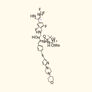 COC(=O)N[C@H](C(=O)N[C@@H](Cc1ccc(C#Cc2ccc(N3CCN(C4CCOCC4)CC3)nc2)cc1)[C@@H](O)CNCc1c(F)cc(/C(C=N)=C/NC(F)F)cc1F)C(C)(C)C(F)(F)F